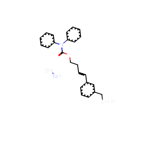 CC(C)(C)N.O=C(O)Cc1cccc(/C=C/CCOC(=O)N(c2ccccc2)c2ccccc2)c1